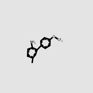 Cc1ccc(N)c(-c2ccc(OC(F)(F)F)cc2)c1